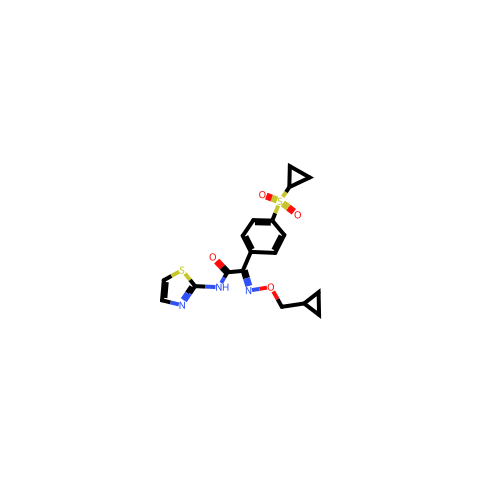 O=C(Nc1nccs1)/C(=N/OCC1CC1)c1ccc(S(=O)(=O)C2CC2)cc1